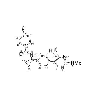 CNc1ncc(-c2ccc(C3(NC(=O)c4ccc(F)cc4)CC3)cc2)c(N)n1